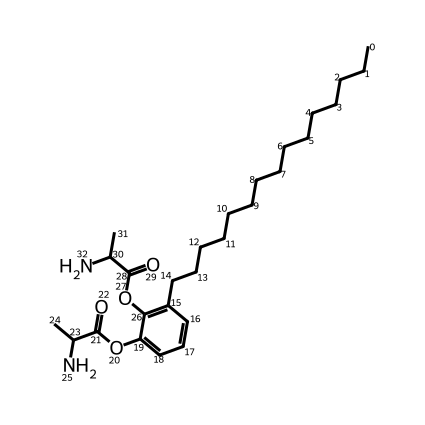 CCCCCCCCCCCCCCCc1cccc(OC(=O)C(C)N)c1OC(=O)C(C)N